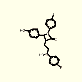 O=C1C(CC[C@H](O)c2ccc(F)cc2)C(c2ccc(O)cc2)N1c1ccc(I)cc1